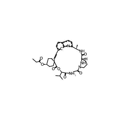 CCC(=O)O[C@H]1CC[C@]2(/C=C/c3ccc4ccc(nc4c3)[C@@H](C)NC(=O)[C@@H]3CCCN(N3)C(=O)[C@H](C)NC(=O)C(C(C)C)OC2=O)CC1